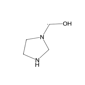 O[CH]N1CCNC1